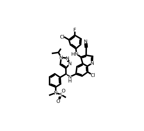 CC(C)n1cc([C@@H](Nc2cc(Cl)c3ncc(C#N)c(Nc4ccc(F)c(Cl)c4)c3c2)c2cccc(N(C)S(C)(=O)=O)c2)nn1